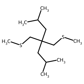 CSCC(CSC)(CC(C)C)CC(C)C